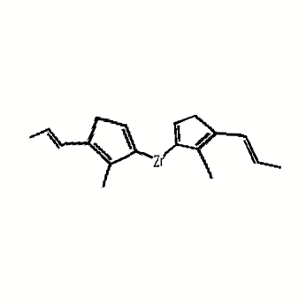 CC=CC1=C(C)[C]([Zr][C]2=CCC(C=CC)=C2C)=CC1